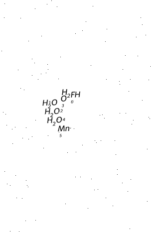 F.O.O.O.O.[Mn]